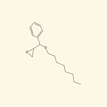 CCCCCCCCOC(c1ccccc1)C1CO1